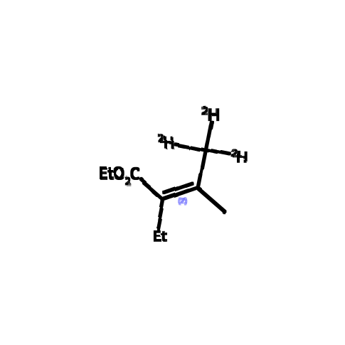 [2H]C([2H])([2H])/C(C)=C(/CC)C(=O)OCC